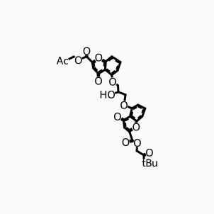 CC(=O)COC(=O)c1cc(=O)c2c(OCC(O)COc3cccc4oc(C(=O)OCC(=O)C(C)(C)C)cc(=O)c34)cccc2o1